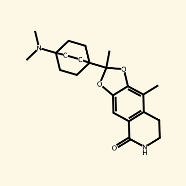 Cc1c2c(cc3c1OC(C)(C14CCC(N(C)C)(CC1)CC4)O3)C(=O)NCC2